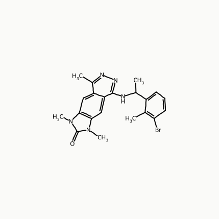 Cc1c(Br)cccc1C(C)Nc1nnc(C)c2cc3c(cc12)n(C)c(=O)n3C